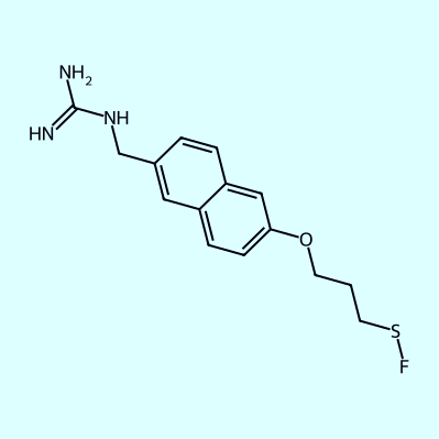 N=C(N)NCc1ccc2cc(OCCCSF)ccc2c1